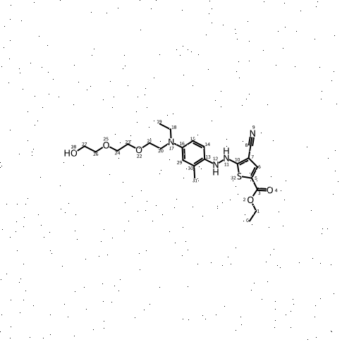 CCOC(=O)c1cc(C#N)c(NNc2ccc(N(CC)CCOCCOCCO)cc2C)s1